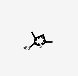 [CH2]CCCc1sc(C)cc1C